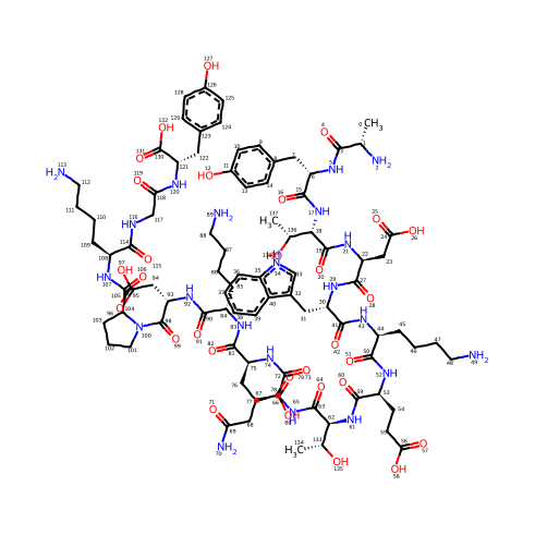 C[C@H](N)C(=O)N[C@@H](Cc1ccc(O)cc1)C(=O)N[C@H](C(=O)N[C@@H](CC(=O)O)C(=O)N[C@@H](Cc1c[nH]c2ccccc12)C(=O)N[C@@H](CCCCN)C(=O)N[C@@H](CCC(=O)O)C(=O)N[C@H](C(=O)N[C@@H](CCC(N)=O)C(=O)N[C@@H](CCC(=O)O)C(=O)N[C@@H](CCCCN)C(=O)N[C@@H](CC(=O)O)C(=O)N1CCC[C@H]1C(=O)N[C@@H](CCCCN)C(=O)NCC(=O)N[C@@H](Cc1ccc(O)cc1)C(=O)O)[C@@H](C)O)[C@@H](C)O